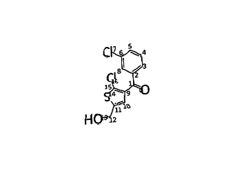 O=C(c1cccc(Cl)c1)c1cc(CO)sc1Cl